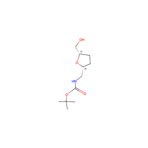 CC(C)(C)OC(=O)NC[C@H]1CC[C@@H](CO)O1